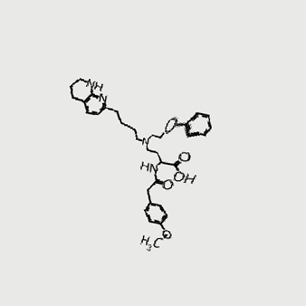 COc1ccc(CC(=O)NC(CCN(CCCCc2ccc3c(n2)NCCC3)CCOc2ccccc2)C(=O)O)cc1